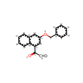 O=CC(=O)c1cc(OCc2ccccc2)cc2ccccc12